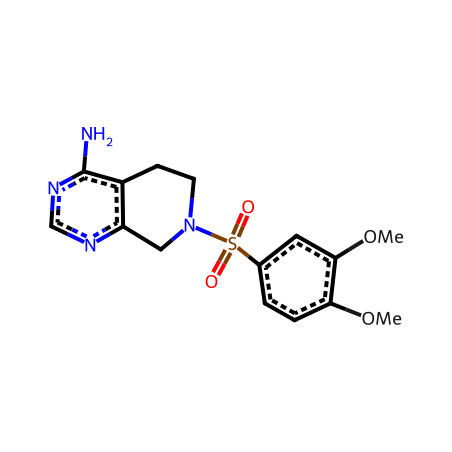 COc1ccc(S(=O)(=O)N2CCc3c(N)ncnc3C2)cc1OC